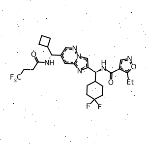 CCc1oncc1C(=O)N[C@H](c1cn2ncc([C@H](NC(=O)CCC(F)(F)F)C3CCC3)cc2n1)C1CCC(F)(F)CC1